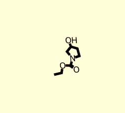 CCOC(=O)N1CCC(O)C1